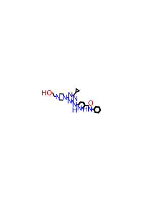 O=C(Nc1ccccc1)c1ccc(Nc2nc(C3CC3)nc(N3CCN(CCO)CC3)n2)nc1